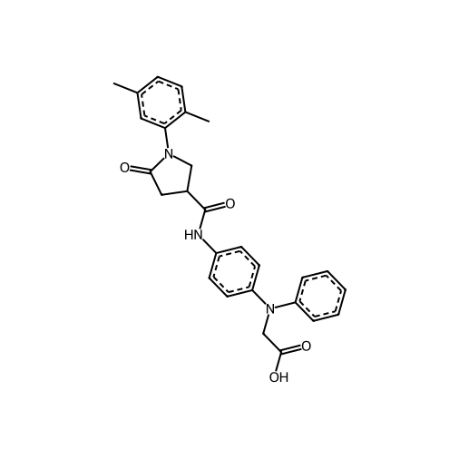 Cc1ccc(C)c(N2CC(C(=O)Nc3ccc(N(CC(=O)O)c4ccccc4)cc3)CC2=O)c1